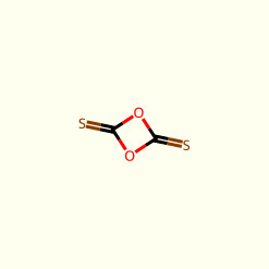 S=C1OC(=S)O1